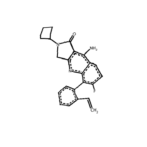 C=Cc1ccccc1-c1c(F)ccc2c(N)c3c(nc12)CN(C1CCC1)C3=O